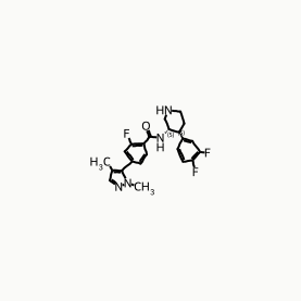 Cc1cnn(C)c1-c1ccc(C(=O)N[C@@H]2CNCC[C@H]2c2ccc(F)c(F)c2)c(F)c1